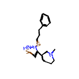 CN1CCC=C(C2=CSNN2SCCCc2ccccc2)C1